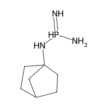 N=[PH](N)NC12CCC(CC1)C2